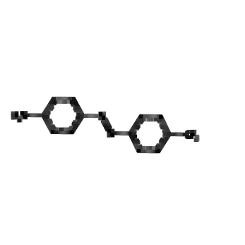 Nc1ccc(/N=N/c2ccc(C(F)(F)F)cc2)cc1